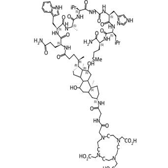 CSCC[C@H](NC(=O)[C@H](CC(C)C)NC(=O)[C@H](Cc1c[nH]cn1)NC(=O)CNC(=O)[C@@H](NC(=O)[C@H](C)NC(=O)[C@H](Cc1c[nH]c2ccccc12)NC(=O)[C@H](CCC(N)=O)NC(=O)CC[C@@H](C)[C@H]1CCC2C3C(O)CC4C[C@@H](NC(=O)CNC(=O)CN5CCN(CC(=O)O)CCN(CC(=O)O)CCN(CC(=O)O)CC5)CC[C@]4(C)C3C[C@H](O)[C@@]21C)C(C)C)C(N)=O